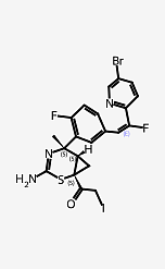 C[C@]1(c2cc(/C=C(/F)c3ccc(Br)cn3)ccc2F)N=C(N)S[C@@]2(C(=O)CI)C[C@H]21